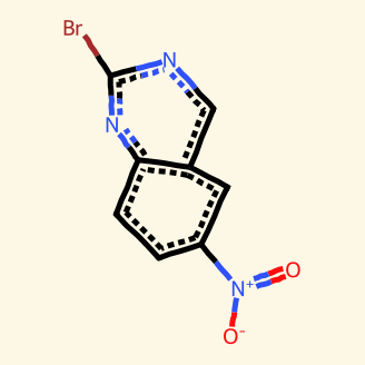 O=[N+]([O-])c1ccc2nc(Br)ncc2c1